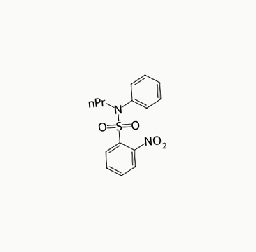 CCCN(c1ccccc1)S(=O)(=O)c1ccccc1[N+](=O)[O-]